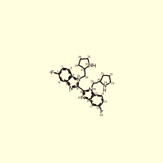 Fc1ccc2c(c1)nc(-c1nc3cc(F)ccc3n1CC1CCCN1)n2CC1CCCN1